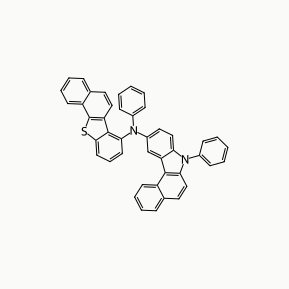 c1ccc(N(c2ccc3c(c2)c2c4ccccc4ccc2n3-c2ccccc2)c2cccc3sc4c5ccccc5ccc4c23)cc1